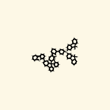 CC1(C)c2ccccc2-c2ccc(N(c3ccc(-c4cccc5c4sc4c6c(ccc45)C4(c5ccccc5-c5ccc(-c7cccc8c7oc7ccccc78)cc54)c4ccccc4-6)cc3)c3ccc4c(c3)C(C)(C)c3ccccc3-4)cc21